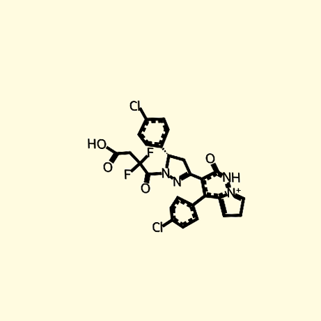 O=C(O)CC(F)(F)C(=O)N1N=C(c2c(-c3ccc(Cl)cc3)c3[n+]([nH]c2=O)=CCC=3)C[C@H]1c1ccc(Cl)cc1